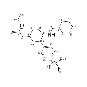 C=C(CC1CCC(NCC2CCCCC2)C(c2ccc(C(F)(F)F)cc2)C1)OCC